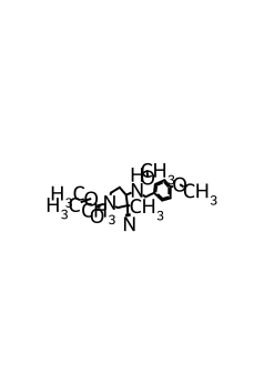 COc1ccc(CNC2CCN(C(=O)OC(C)(C)C)CC2(C)C#N)c(OC)c1